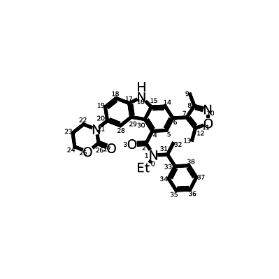 CCN(C(=O)c1cc(-c2c(C)noc2C)cc2[nH]c3ccc(N4CCCOC4=O)cc3c12)C(C)c1ccccc1